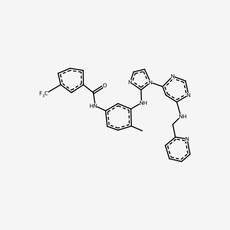 Cc1ccc(NC(=O)c2cccc(C(F)(F)F)c2)cc1Nc1nccn1-c1cc(NCc2ccccn2)ncn1